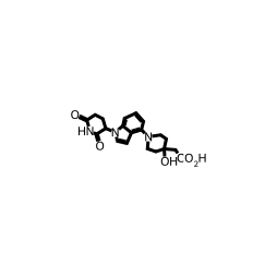 O=C(O)CC1(O)CCN(c2cccc3c2ccn3C2CCC(=O)NC2=O)CC1